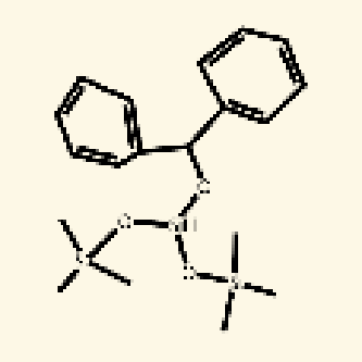 C[Si](C)(C)O[SiH](OC(c1ccccc1)c1ccccc1)O[Si](C)(C)C